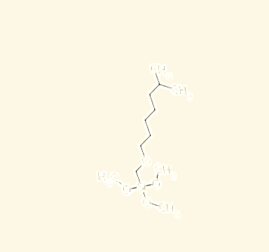 CO[Si](COCCCCCC(C)C)(OC)OC